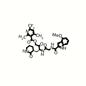 COc1cccc2[nH]c(C(=O)NCC(=O)N[C@@H](C[C@@H]3CCCNC3=O)C(=O)COC(=O)c3c(C)cc(C(F)(F)F)nc3C)cc12